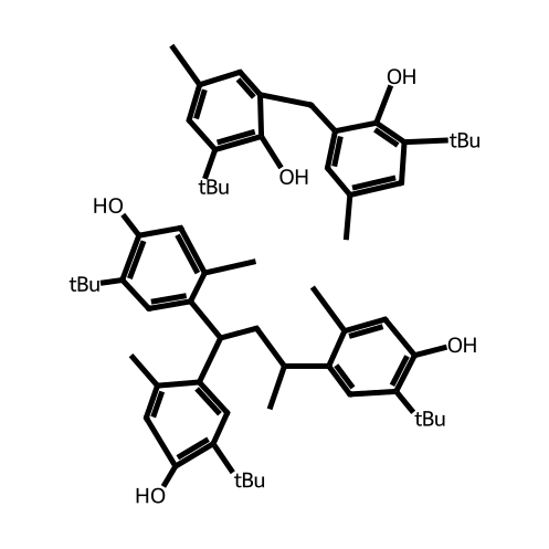 Cc1cc(Cc2cc(C)cc(C(C)(C)C)c2O)c(O)c(C(C)(C)C)c1.Cc1cc(O)c(C(C)(C)C)cc1C(C)CC(c1cc(C(C)(C)C)c(O)cc1C)c1cc(C(C)(C)C)c(O)cc1C